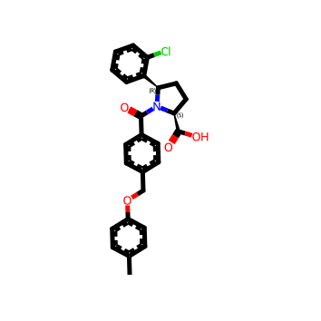 Cc1ccc(OCc2ccc(C(=O)N3[C@@H](c4ccccc4Cl)CC[C@H]3C(=O)O)cc2)cc1